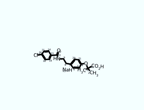 CC(C)(Oc1ccc(CCNC(=O)c2ccc(Cl)cc2)cc1)C(=O)O.[NaH]